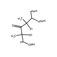 CCCCCC(CCCCC)C(C)(CC)C(=O)C(C)(CC)NOC